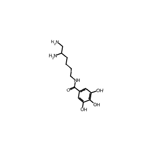 NCC(N)CCCCNC(=O)c1cc(O)c(O)c(O)c1